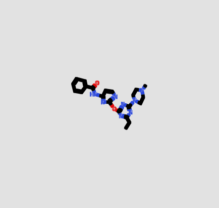 CCc1nc(Oc2nccc(NC(=O)c3ccccc3)n2)nc(N2CCN(C)CC2)n1